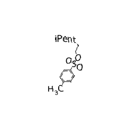 CCC[C@H](C)CCOS(=O)(=O)c1ccc(C)cc1